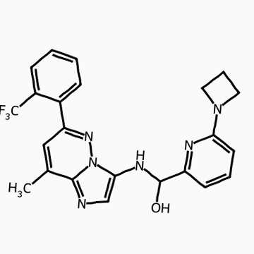 Cc1cc(-c2ccccc2C(F)(F)F)nn2c(NC(O)c3cccc(N4CCC4)n3)cnc12